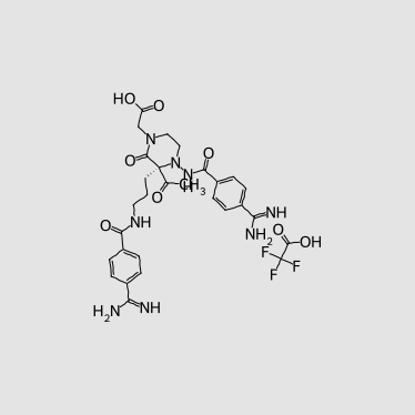 CC(=O)[C@@]1(CCCNC(=O)c2ccc(C(=N)N)cc2)C(=O)N(CC(=O)O)CCN1NC(=O)c1ccc(C(=N)N)cc1.O=C(O)C(F)(F)F